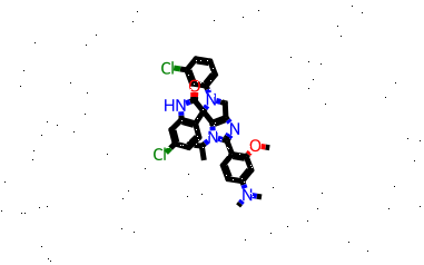 COc1cc(N(C)C)ccc1-c1nc2c(n1C(C)C)C1(C(=O)Nc3cc(Cl)ccc31)N(c1cccc(Cl)c1)C2